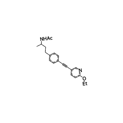 CCOc1ccc(C#Cc2ccc(CCC(C)NC(C)=O)cc2)cn1